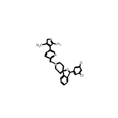 CC1=NCC(C)=C1c1ccc(CN2CCC3(CC2)OC(c2cc(Cl)cc(Cl)c2)c2ccccc23)nc1